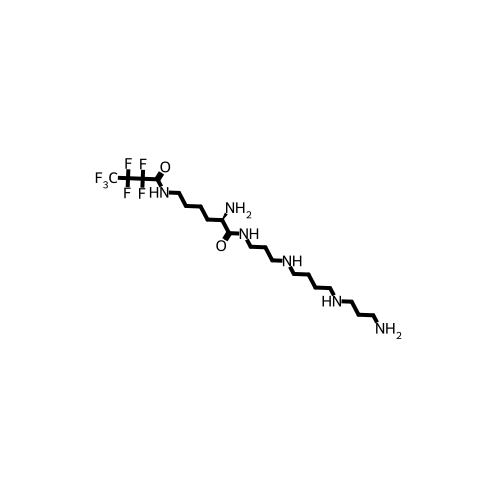 NCCCNCCCCNCCCNC(=O)[C@H](N)CCCCNC(=O)C(F)(F)C(F)(F)C(F)(F)F